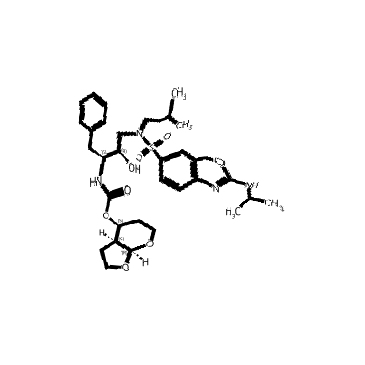 CC(C)CN(C[C@@H](O)[C@H](Cc1ccccc1)NC(=O)O[C@H]1CCO[C@H]2OCC[C@H]21)S(=O)(=O)c1ccc2nc(NC(C)C)oc2c1